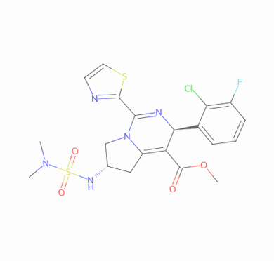 COC(=O)C1=C2C[C@H](NS(=O)(=O)N(C)C)CN2C(c2nccs2)=N[C@H]1c1cccc(F)c1Cl